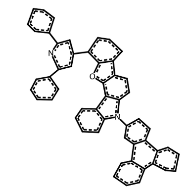 c1ccc(-c2cc(-c3cccc4c3oc3c4ccc4c3c3ccccc3n4-c3ccc4c5ccccc5c5ccccc5c4c3)cc(-c3ccccc3)n2)cc1